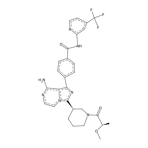 CO[C@H](C)C(=O)N1CCC[C@@H](c2nc(-c3ccc(C(=O)Nc4cc(C(F)(F)F)ccn4)cc3)c3c(N)nccn23)C1